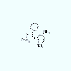 Nc1ccc([N+](=O)[O-])cc1.O=C(N=S(=O)=O)c1ccccc1